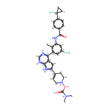 Cc1c(NC(=O)c2ccc(C3(F)CC3)cc2)cc(F)cc1-c1ncnc2[nH]c(C3=CCN(OC(=O)N(C)C)CC3)cc12